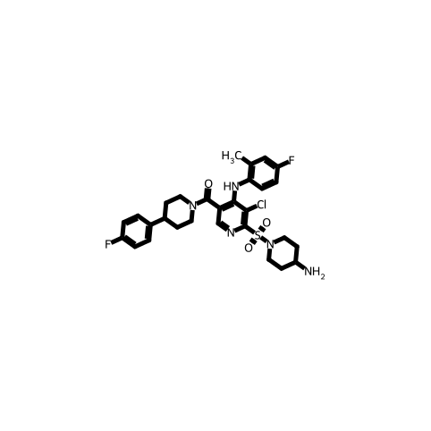 Cc1cc(F)ccc1Nc1c(C(=O)N2CCC(c3ccc(F)cc3)CC2)cnc(S(=O)(=O)N2CCC(N)CC2)c1Cl